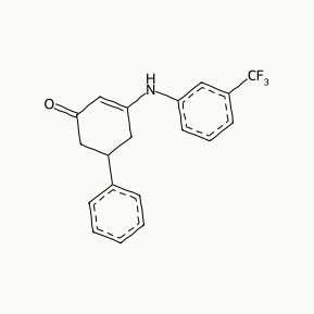 O=C1C=C(Nc2cccc(C(F)(F)F)c2)CC(c2ccccc2)C1